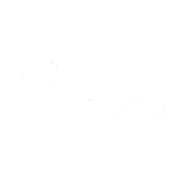 C[C@]12CCC(=NOCCc3cc(CN)on3)C=C1CCC1C2CC[C@]2(C)C(=O)CCC12